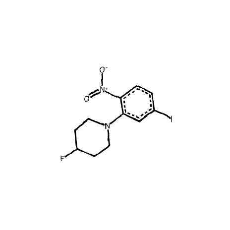 O=[N+]([O-])c1ccc(I)cc1N1CCC(F)CC1